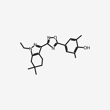 CCn1nc(-c2noc(-c3cc(C)c(O)c(C)c3)n2)c2c1CC(C)(C)CC2